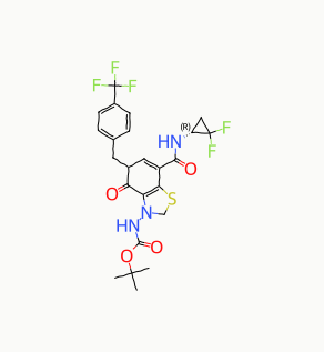 CC(C)(C)OC(=O)NN1CSC2=C1C(=O)C(Cc1ccc(C(F)(F)F)cc1)C=C2C(=O)N[C@@H]1CC1(F)F